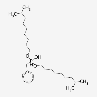 CC(C)CCCCCCCO[PH](O)(Cc1ccccc1)OCCCCCCCC(C)C